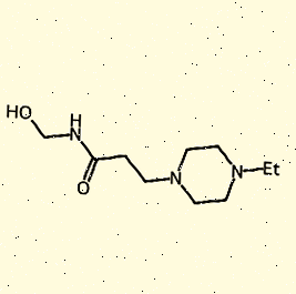 CCN1CCN(CCC(=O)NCO)CC1